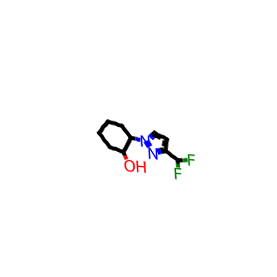 OC1CCCCC1n1ccc(C(F)F)n1